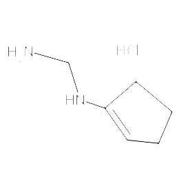 Cl.NCNC1=CCCC1